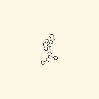 C1=Cc2ccc(-c3ccc4c(c3)c3nc(-c5ccccc5)ccc3n4-c3ccccc3)cc2C2(c3ccccc31)c1ccccc1-c1cc3oc4ccccc4c3cc12